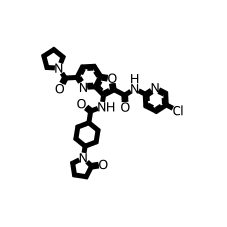 O=C(Nc1ccc(Cl)cn1)c1oc2ccc(C(=O)N3CCCC3)nc2c1NC(=O)C1CCC(N2CCCC2=O)CC1